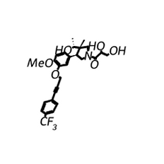 COc1ccc([C@@H]2CN(C(=O)C(O)CO)C[C@@]2(C)[C@@H](C)O)cc1OCC#Cc1ccc(C(F)(F)F)cc1